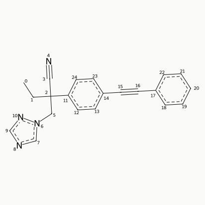 CCC(C#N)(Cn1cncn1)c1ccc(C#Cc2ccccc2)cc1